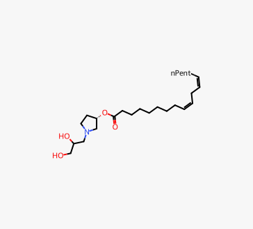 CCCCC/C=C\C/C=C\CCCCCCCC(=O)O[C@H]1CCN(CC(O)CO)C1